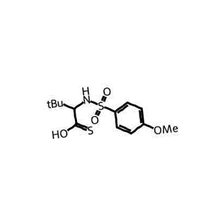 COc1ccc(S(=O)(=O)NC(C(O)=S)C(C)(C)C)cc1